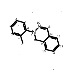 Cc1ccccc1N1Cc2ccccc2C=N1